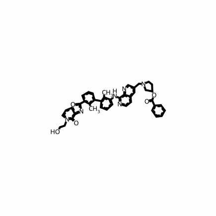 Cc1c(Nc2nccc3cc(CN4CC[C@@H](OC(=O)c5ccccc5)C4)cnc23)cccc1-c1cccc(-c2nc3c(=O)n(CCO)ccc3o2)c1C